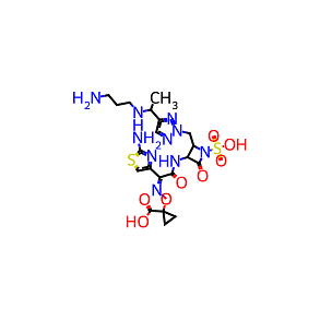 CC(NCCCN)c1cnn(CC2C(NC(=O)/C(=N\OC3(C(=O)O)CC3)c3csc(N)n3)C(=O)N2S(=O)(=O)O)n1